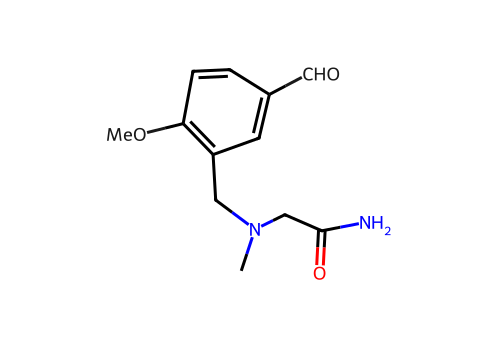 COc1ccc(C=O)cc1CN(C)CC(N)=O